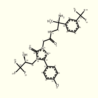 CC(N)(CNC(=O)Cn1nc(-c2ccc(Cl)cc2)n(C[C@H](O)C(F)(F)F)c1=O)c1cccc(C(F)(F)F)c1